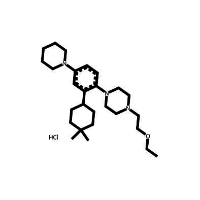 CCOCCN1CCN(c2ccc(N3CCCCC3)cc2C2CCC(C)(C)CC2)CC1.Cl